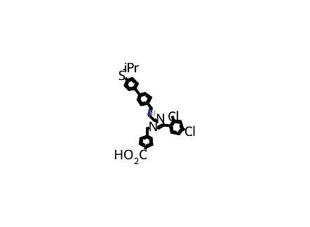 CC(C)Sc1ccc(-c2ccc(/C=C/c3nc(-c4ccc(Cl)cc4Cl)cn3Cc3ccc(C(=O)O)cc3)cc2)cc1